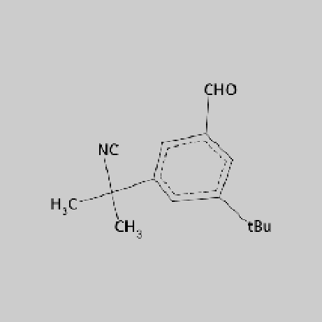 [C-]#[N+]C(C)(C)c1cc(C=O)cc(C(C)(C)C)c1